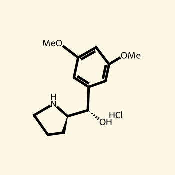 COc1cc(OC)cc([C@H](O)[C@H]2CCCN2)c1.Cl